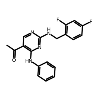 CC(=O)c1cnc(NCc2ccc(F)cc2F)nc1Nc1ccccc1